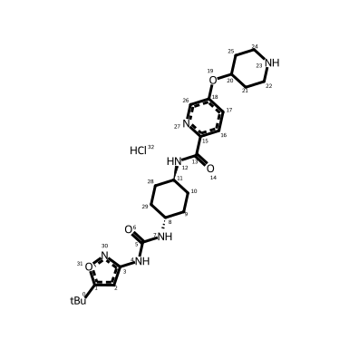 CC(C)(C)c1cc(NC(=O)N[C@H]2CC[C@H](NC(=O)c3ccc(OC4CCNCC4)cn3)CC2)no1.Cl